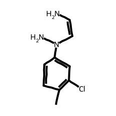 Cc1ccc(N(N)/C=C\N)cc1Cl